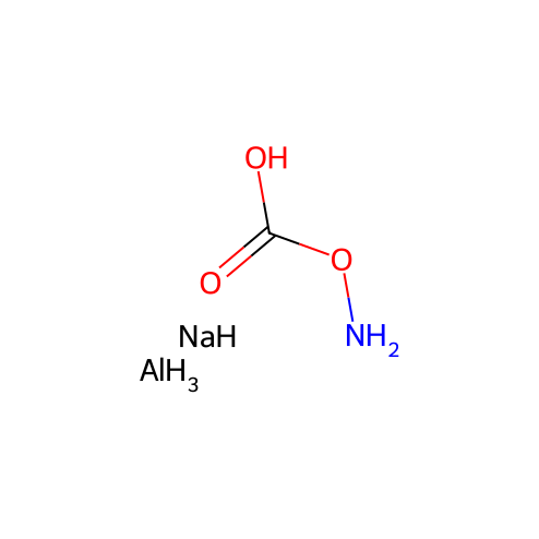 NOC(=O)O.[AlH3].[NaH]